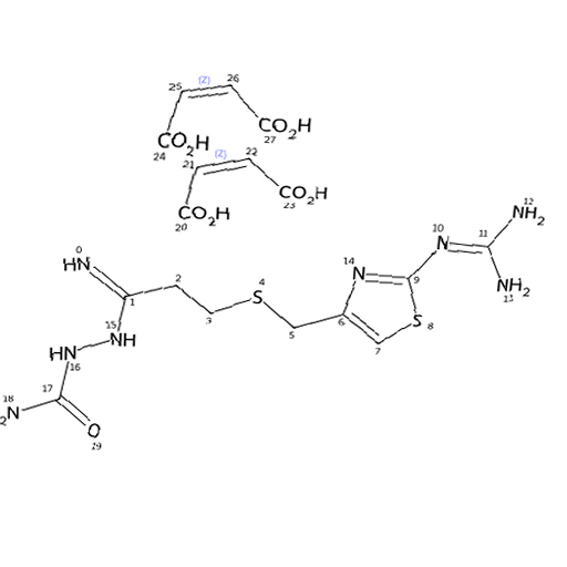 N=C(CCSCc1csc(N=C(N)N)n1)NNC(N)=O.O=C(O)/C=C\C(=O)O.O=C(O)/C=C\C(=O)O